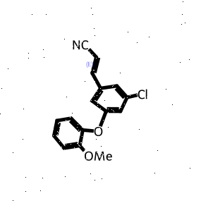 COc1ccccc1Oc1cc(Cl)cc(/C=C/C#N)c1